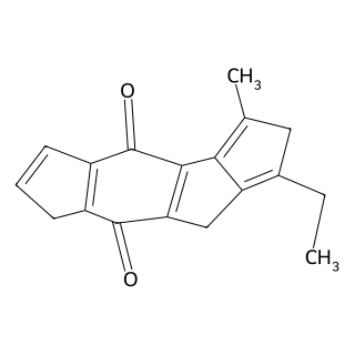 CCC1=C2CC3=C(C(=O)C4=C(CC=C4)C3=O)C2=C(C)C1